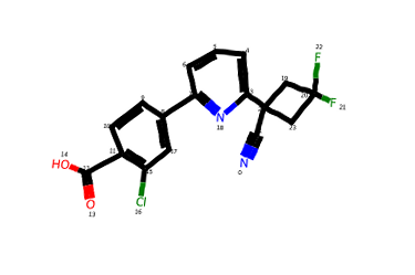 N#CC1(c2cccc(-c3ccc(C(=O)O)c(Cl)c3)n2)CC(F)(F)C1